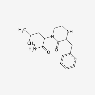 CC(C)CC(C(N)=O)N1CCNC(Cc2ccccc2)C1=O